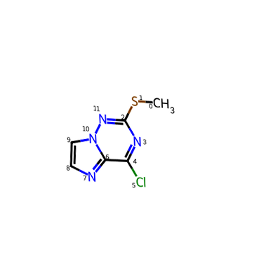 CSc1nc(Cl)c2nccn2n1